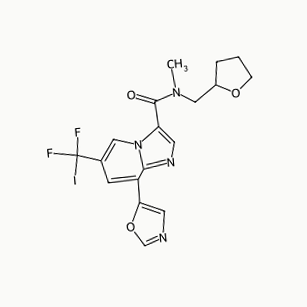 CN(CC1CCCO1)C(=O)c1cnc2c(-c3cnco3)cc(C(F)(F)I)cn12